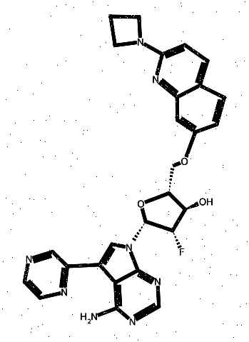 Nc1ncnc2c1c(-c1cnccn1)cn2[C@@H]1O[C@H](COc2ccc3ccc(N4CCC4)nc3c2)[C@@H](O)[C@@H]1F